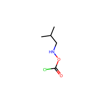 CC(C)CNOC(=O)Cl